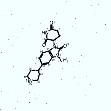 Cn1c(=O)n([C@@H]2CCC(=O)NC2=O)c2ccc(C3CCNCC3)cc21